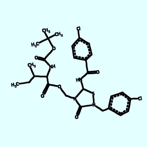 CCC(C)C(NC(=O)OC(C)(C)C)C(=O)OCN1C(=O)N(Cc2ccc(Cl)cc2)SC1NC(=O)c1ccc(Cl)cc1